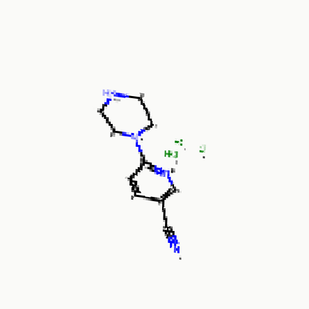 Cl.Cl.Cl.N#Cc1ccc(N2CCNCC2)nc1